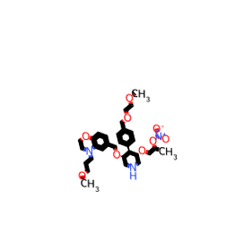 COCCCN1CCOc2ccc(CO[C@H]3CNC[C@@H](OCC(C)O[N+](=O)[O-])[C@@H]3c3ccc(COCCOC)cc3)cc21